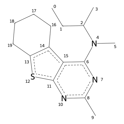 CCC(C)N(C)c1nc(C)nc2sc3c(c12)CCCC3